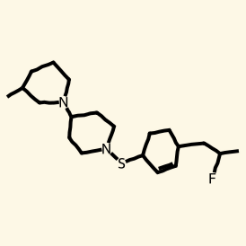 CC(F)CC1C=CC(SN2CCC(N3CCCC(C)C3)CC2)CC1